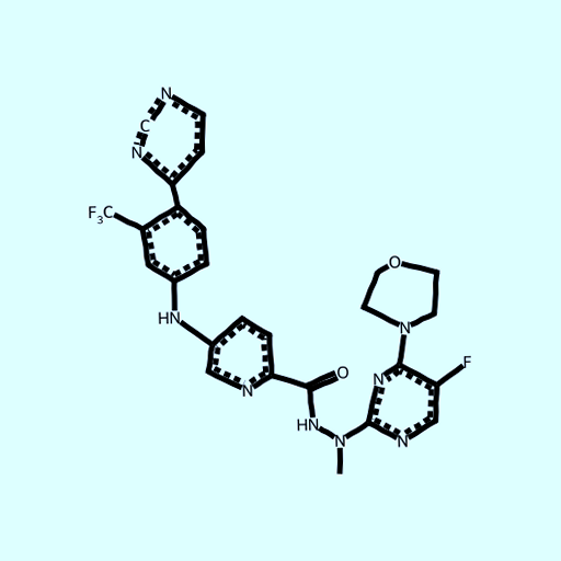 CN(NC(=O)c1ccc(Nc2ccc(-c3ccncn3)c(C(F)(F)F)c2)cn1)c1ncc(F)c(N2CCOCC2)n1